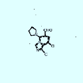 O=Cc1cc(Cl)c2c(Cl)ncn2c1N1CCCC1